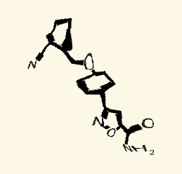 N#Cc1ccccc1COc1ccc(-c2cc(C(N)=O)on2)cc1